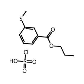 CCCOC(=O)c1cccc(SC)c1.O=S(=O)(O)Cl